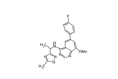 COc1cc(-c2ccc(F)cc2)cc2c(NC(C)c3noc(C)n3)ncnc12